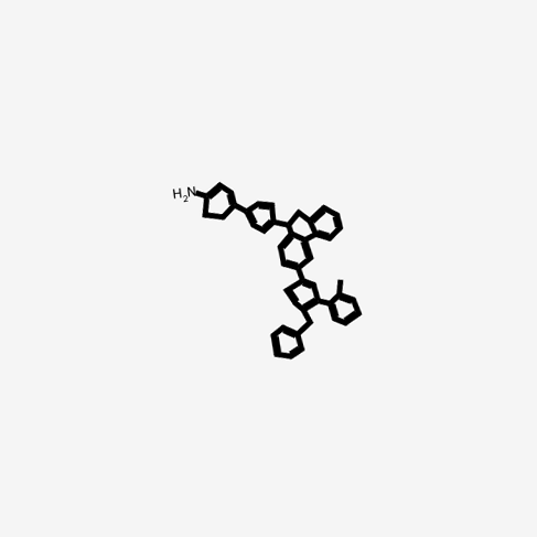 Cc1ccccc1-c1cc(-c2ccc3c(c2)-c2ccccc2CC3c2ccc(C3=CC=C(N)CC3)cc2)ccc1Cc1ccccc1